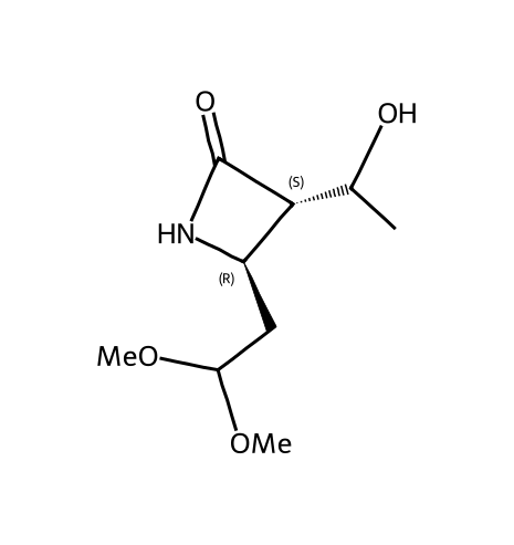 COC(C[C@H]1NC(=O)[C@@H]1C(C)O)OC